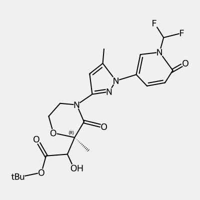 Cc1cc(N2CCO[C@](C)(C(O)C(=O)OC(C)(C)C)C2=O)nn1-c1ccc(=O)n(C(F)F)c1